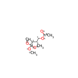 CO[Si](CCCOC(C)=O)(OC)OC